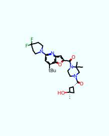 CC(C)(C)c1cc(N2CCC(F)(F)CC2)nc2cc(C(=O)N3CCN(C(=O)[C@H]4C[C@](C)(O)C4)CC3(C)C)oc12